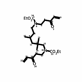 C=CC(=O)CCN(CCC(C)CC(C)(C)CN(CCC(=O)C=C)C(=O)OCC)C(=O)OCC